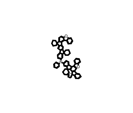 c1ccc(N(c2ccc3c(c2)C2(CCCCC2)c2cc4c(cc2-3)C2(CCCCC2)c2ccc3oc5ccccc5c3c2-4)c2ccc3c(c2)C2(CCCCC2)c2c4c(c5oc6ccccc6c5c2-3)-c2ccccc2C42CCCCC2)cc1